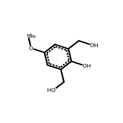 CC(C)(C)Oc1cc(CO)c(O)c(CO)c1